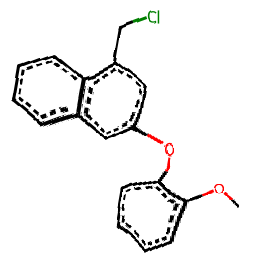 COc1ccccc1Oc1cc(CCl)c2ccccc2c1